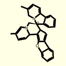 CC1=CN2C[C@@]3(c4ccccc4C4=CC=C(C)CN43)C3CC=c4c(oc5ccccc45)=C3C2C=C1